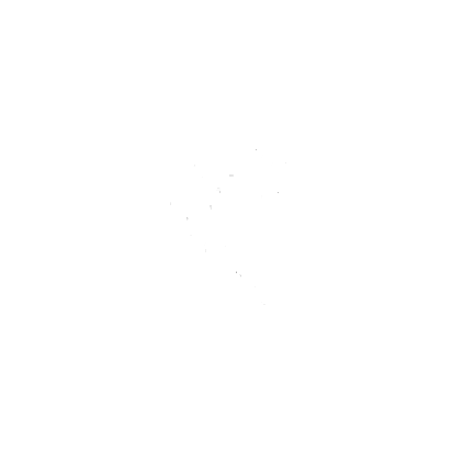 CC(C)(C)[S+]([O-])NCc1ccc(C(F)(F)F)cc1Sc1ccccc1CO